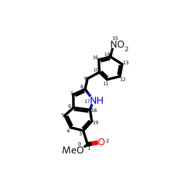 COC(=O)c1ccc2cc(Cc3cccc([N+](=O)[O-])c3)[nH]c2c1